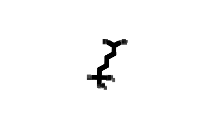 CCCC([CH]CCCC(C)(C)CC)CC